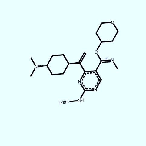 C=C(c1nc(NC(C)CCC)ncc1/C(=N\C)OC1CCOCC1)[C@H]1CC[C@@H](N(C)C)CC1